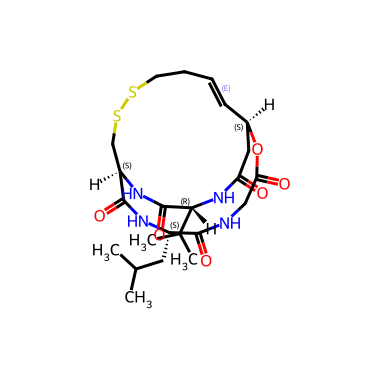 CC(C)C[C@@H]1NC(=O)[C@H]2CSSCC/C=C/[C@H](CC(=O)N[C@H](C(C)C)C(=O)N2)OC(=O)CNC1=O